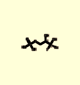 CC(=O)[C@](O)(F)[C@H](O)COP(=O)(O)O